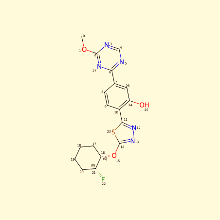 COc1ncnc(-c2ccc(-c3nnc(O[C@H]4CCCC[C@H]4F)s3)c(O)c2)n1